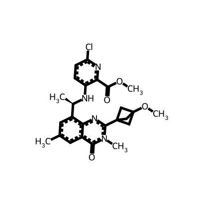 COC(=O)c1nc(Cl)ccc1N[C@H](C)c1cc(C)cc2c(=O)n(C)c(C34CC(OC)(C3)C4)nc12